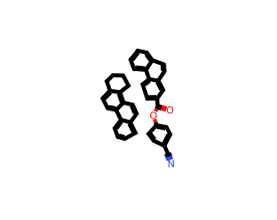 N#Cc1ccc(OC(=O)c2ccc3c(ccc4ccccc43)c2)cc1.c1ccc2c(c1)ccc1c3c(ccc12)CCCC3